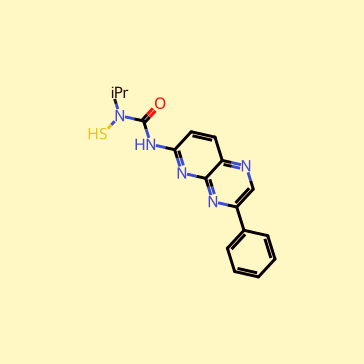 CC(C)N(S)C(=O)Nc1ccc2ncc(-c3ccccc3)nc2n1